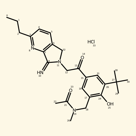 CCCc1ccc2c(n1)C(=N)N(CC(=O)c1cc(CN(C)C(C)=O)c(O)c(C(C)(C)C)c1)C2.Cl